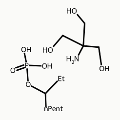 CCCCCC(CC)OP(=O)(O)O.NC(CO)(CO)CO